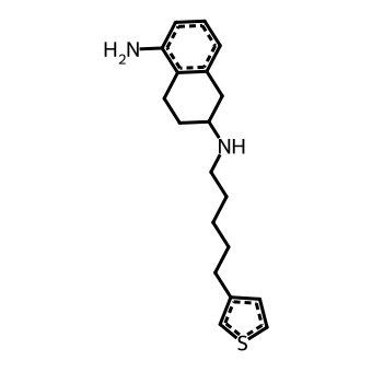 Nc1cccc2c1CCC(NCCCCCc1ccsc1)C2